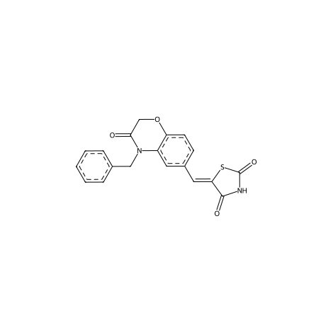 O=C1NC(=O)/C(=C/c2ccc3c(c2)N(Cc2ccccc2)C(=O)CO3)S1